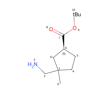 CC1(CN)CC[C@H](C(=O)OC(C)(C)C)C1